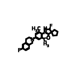 Cc1cc(N2CCc3cc(F)ccc3C2)cc(C)c1NC(=O)C1(C(F)F)CCCC1